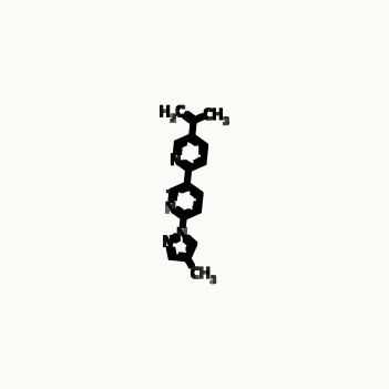 C=C(C)c1ccc(-c2[c]nc(-n3cc(C)cn3)cc2)nc1